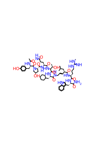 CNC(=N)NCCC[C@H](NC(=O)[C@@H](/C=C/CNC(=O)[C@H](CC1CCCCC1)NC(=O)[C@@H](NC(=O)[C@H](CCC(N)=O)NC(=O)[C@@H]1C[C@@H](O)CN1C(=O)[C@@H](Cc1ccc(O)cc1)NC(C)=O)[C@@H](C)O)CC(C)C)C(=O)N[C@@H](Cc1c[nH]c2ccccc12)C(N)=O